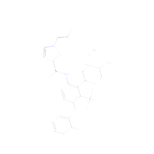 CN1CCN(c2c(NC(=O)c3ccn(CC(F)F)n3)ccc(Oc3ccccc3Cl)c2C(F)(F)F)C[C@@H]1CN